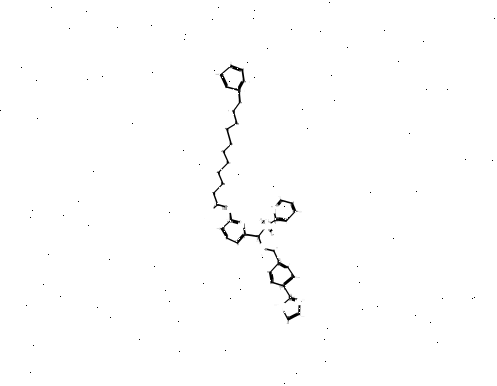 O=C(O)C(CCCCCCCCCCc1ccccc1)Nc1cccc(C(NCc2ccc(-c3nccs3)cc2)S(=O)(=O)c2ccccn2)n1